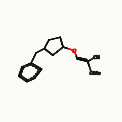 COC(C#N)=COC1CCC(Cc2ccccc2)C1